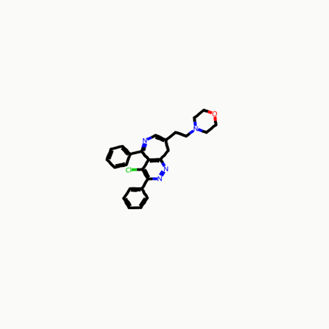 Clc1c(-c2ccccc2)nnc2c1C(c1ccccc1)=NC=C(CCN1CCOCC1)C2